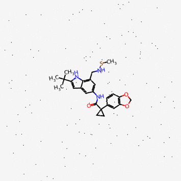 CSNCc1cc(NC(=O)C2(c3ccc4c(c3)OCO4)CC2)cc2cc(C(C)(C)C)[nH]c12